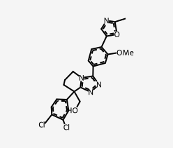 COc1cc(-c2nnc3n2CCCC3(CO)c2ccc(Cl)c(Cl)c2)ccc1-c1cnc(C)o1